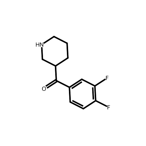 O=C(c1ccc(F)c(F)c1)C1CCCNC1